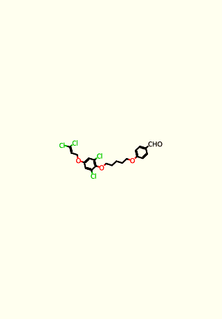 O=Cc1ccc(OCCCCCOc2c(Cl)cc(OCC=C(Cl)Cl)cc2Cl)cc1